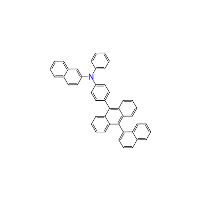 c1ccc(N(c2ccc(-c3c4ccccc4c(-c4cccc5ccccc45)c4ccccc34)cc2)c2ccc3ccccc3c2)cc1